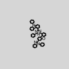 c1ccc(-c2nc(-c3cccc4oc5cc(-c6nc7ccccc7n6-c6ccccc6)ccc5c34)nc(-c3cccc4c3c3ccccc3n4-c3ccccc3)n2)cc1